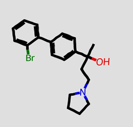 CC(O)(CCN1CCCC1)c1ccc(-c2ccccc2Br)cc1